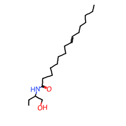 CCCCCCC=CCCCCCCCC(=O)NC(CC)CO